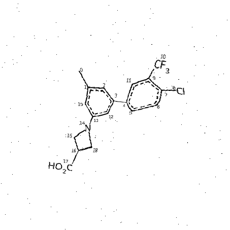 Cc1cc(-c2ccc(Cl)c(C(F)(F)F)c2)cc(N2CC(C(=O)O)C2)c1